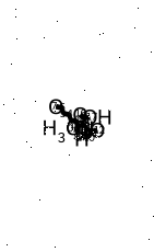 C[C@@]1(C=CC=CC=O)S[C@@H]2CC(=O)N2[C@H]1C(=O)O